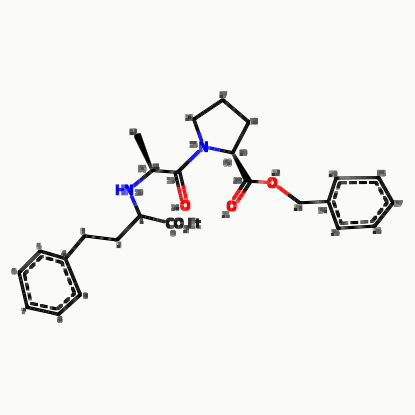 CCOC(=O)C(CCc1ccccc1)N[C@@H](C)C(=O)N1CCC[C@H]1C(=O)OCc1ccccc1